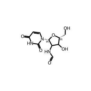 O=CNC1C(O)[C@@H](CO)O[C@H]1n1ccc(=O)[nH]c1=O